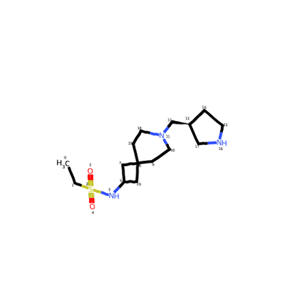 CCS(=O)(=O)NC1CC2(CCN(C[C@H]3CCNC3)CC2)C1